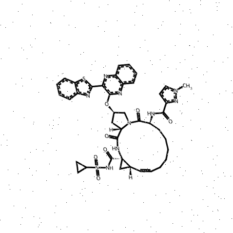 Cn1ccc(C(=O)N[C@H]2CCCCC/C=C\[C@@H]3C[C@@]3(C(=O)NS(=O)(=O)C3CC3)NC(=O)[C@@H]3C[C@@H](Oc4nc5ccccc5nc4-c4nc5ccccc5s4)CN3C2=O)n1